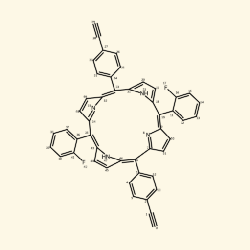 C#Cc1ccc(-c2c3nc(c(-c4ccccc4F)c4ccc([nH]4)c(-c4ccc(C#C)cc4)c4nc(c(-c5ccccc5F)c5ccc2[nH]5)C=C4)C=C3)cc1